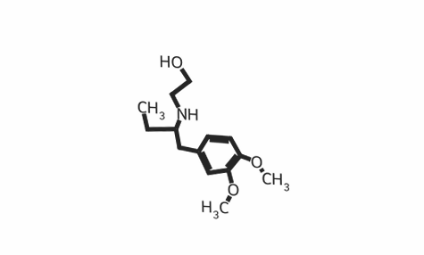 CCC(Cc1ccc(OC)c(OC)c1)NCCO